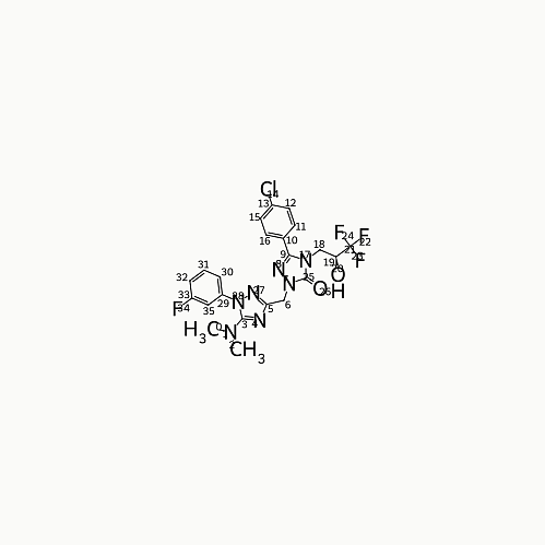 CN(C)c1nc(Cn2nc(-c3ccc(Cl)cc3)n(C[C@H](O)C(F)(F)F)c2=O)nn1-c1cccc(F)c1